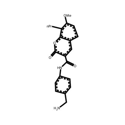 CCCc1c(OC)ccc2cc(C(=O)Nc3ccc(CN)cc3)c(=O)oc12